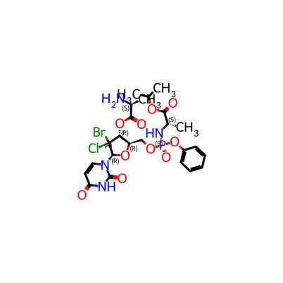 CC(C)OC(=O)[C@H](C)N[P@](=O)(OC[C@H]1O[C@@H](n2ccc(=O)[nH]c2=O)[C@](Cl)(Br)[C@@H]1OC(=O)[C@H](C)N)Oc1ccccc1